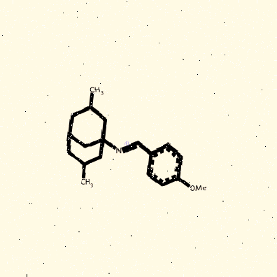 COc1ccc(/C=N/C23CC(C)CC(CC(C)C2)C3)cc1